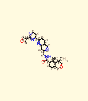 C[C@@]1(C#N)COCc2ccc(C(=O)NCc3cc4nc(-c5ccnc(C6COC6)n5)ccc4cn3)cc21